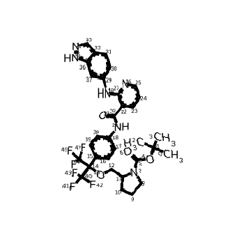 CC(C)(C)OC(=O)N1CCCC1COC(c1ccc(NC(=O)c2cccnc2Nc2ccc3cn[nH]c3c2)cc1)(C(F)(F)F)C(F)(F)F